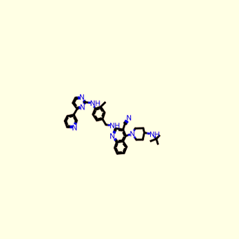 Cc1cc(CNc2nc3ccccc3c(N3CCC(NC(C)(C)C)CC3)c2C#N)ccc1Nc1nccc(-c2cccnc2)n1